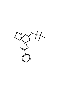 CC(C)(C)[Si](C)(C)OC1C[C@@H](OC(=O)c2ccccc2)C[C@@]2(COCO2)C1